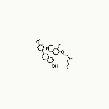 CCCCN(C)CCOc1ccc(CN(CC)c2cc(OC)ccc2C2CCc3cc(O)ccc3C2)cc1F